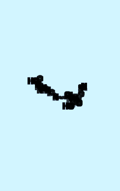 Cc1ncsc1-c1ccc(CNC(=O)[C@@H]2C[C@@H](O)CC2C(=O)C(NC(=O)CCCCCN(C)Cc2ccc(N3CCN(c4cc(-c5ccccc5O)nnc4N)CC3)cc2)C(C)(C)C)cc1